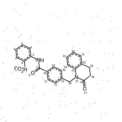 O=C(Nc1ccccc1C(=O)O)c1ccc(CN2C(=O)CCc3ccccc32)cc1